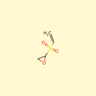 C=CS(=O)(=O)C1CO1